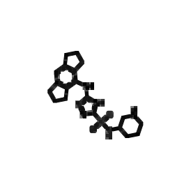 O=S(=O)(NC1CCCNC1)c1nnc(Nc2c3c(cc4c2CCC4)CCC3)[nH]1